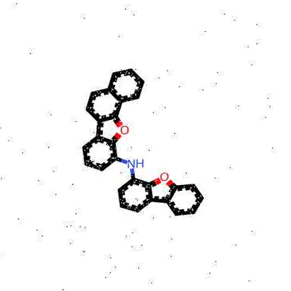 c1ccc2c(c1)ccc1c3cccc(Nc4cccc5c4oc4ccccc45)c3oc21